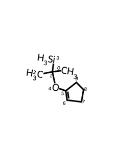 CC(C)([SiH3])OC1=CCCC1